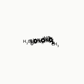 CO[N+](=O)c1ccc(/N=N/c2ccc(/N=N/c3cc(SC)ccc3O)cc2)cc1